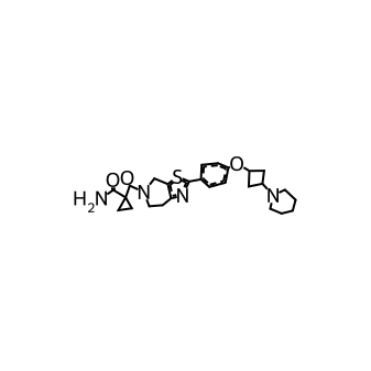 NC(=O)C1(C(=O)N2CCc3nc(-c4ccc(OC5CC(N6CCCCC6)C5)cc4)sc3C2)CC1